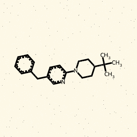 CC(C)(C)C1CCN(c2ccc(Cc3ccccc3)cn2)CC1